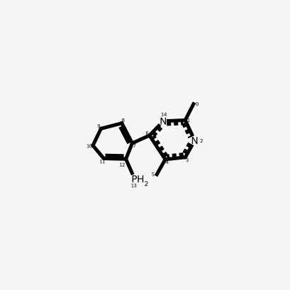 Cc1ncc(C)c(C2=CCCC=C2P)n1